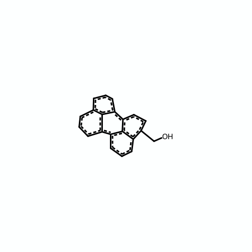 OCc1ccc2c3cccc4cccc(c5cccc1c52)c43